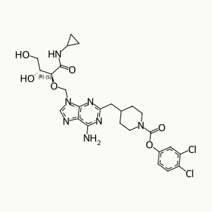 Nc1nc(CC2CCN(C(=O)Oc3ccc(Cl)c(Cl)c3)CC2)nc2c1ncn2CO[C@H](C(=O)NC1CC1)[C@H](O)CO